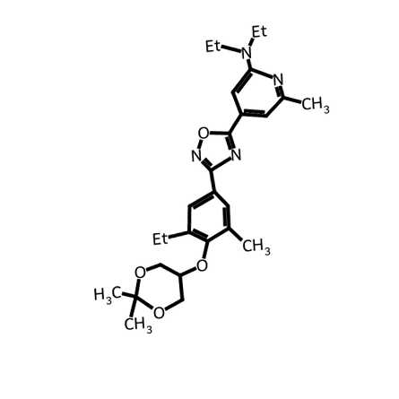 CCc1cc(-c2noc(-c3cc(C)nc(N(CC)CC)c3)n2)cc(C)c1OC1COC(C)(C)OC1